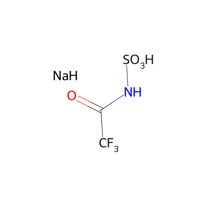 O=C(NS(=O)(=O)O)C(F)(F)F.[NaH]